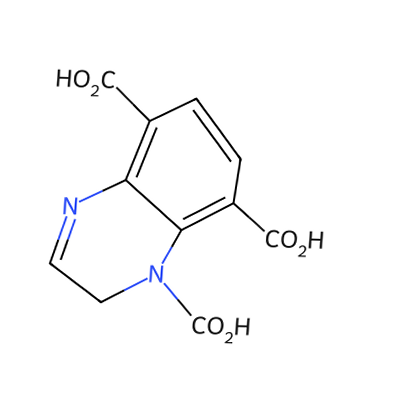 O=C(O)c1ccc(C(=O)O)c2c1N=CCN2C(=O)O